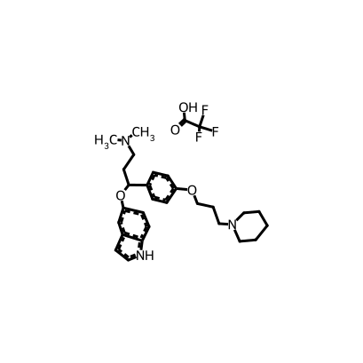 CN(C)CCC(Oc1ccc2[nH]ccc2c1)c1ccc(OCCCN2CCCCC2)cc1.O=C(O)C(F)(F)F